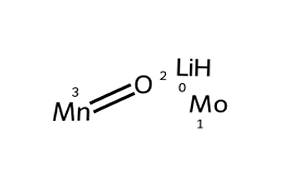 [LiH].[Mo].[O]=[Mn]